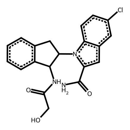 NC(=O)c1cc2cc(Cl)ccc2n1C1Cc2ccccc2C1NC(=O)CO